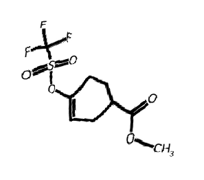 COC(=O)C1CC=C(OS(=O)(=O)C(F)(F)F)CC1